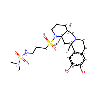 CN(C)S(=O)(=O)NCCCS(=O)(=O)N1CCC[C@H]2CN3CCc4cc(O)c(O)cc4[C@@H]3C[C@H]21